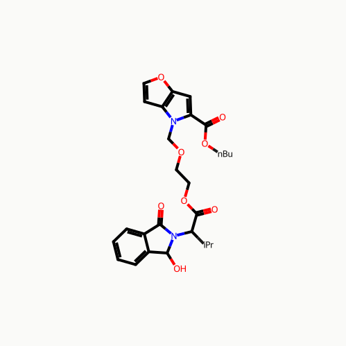 CCCCOC(=O)c1cc2occc2n1COCCOC(=O)C(C(C)C)N1C(=O)c2ccccc2C1O